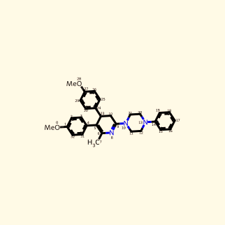 COc1ccc(C2=C(C)N=C(N3CCN(c4ccccc4)CC3)CC2c2ccc(OC)cc2)cc1